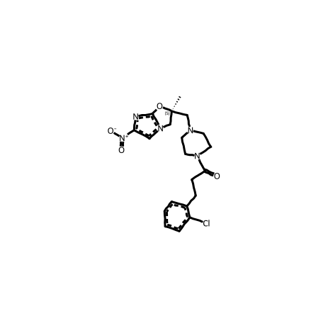 C[C@]1(CN2CCN(C(=O)CCc3ccccc3Cl)CC2)Cn2cc([N+](=O)[O-])nc2O1